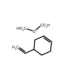 C=CC1CC=CCC1.O=C(O)OC(=O)O